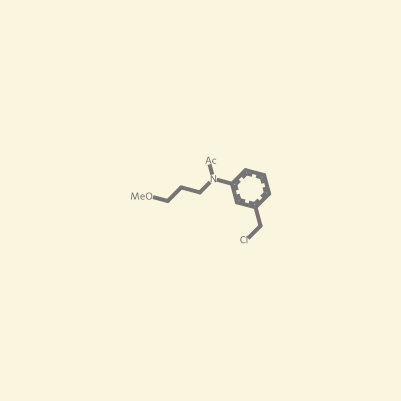 COCCCN(C(C)=O)c1cccc(CCl)c1